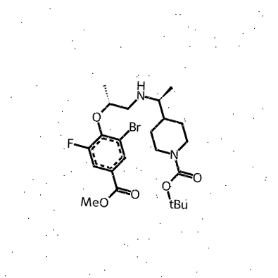 COC(=O)c1cc(F)c(O[C@H](C)CN[C@@H](C)C2CCN(C(=O)OC(C)(C)C)CC2)c(Br)c1